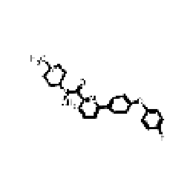 CN1CCC(N(C)C(=O)c2cccc(-c3ccc(Oc4ccc(F)cc4)cc3)n2)CC1